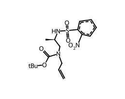 C=CCN(C[C@@H](C)NS(=O)(=O)c1ccccc1[N+](=O)[O-])C(=O)OC(C)(C)C